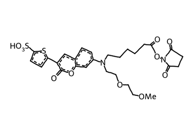 COCCOCCN(CCCCCC(=O)ON1C(=O)CCC1=O)c1ccc2cc(-c3ccc(S(=O)(=O)O)s3)c(=O)oc2c1